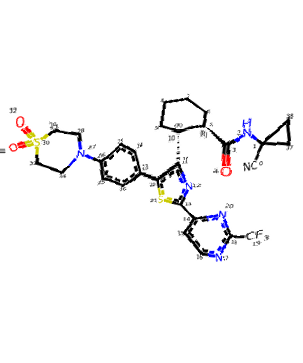 N#CC1(NC(=O)[C@@H]2CCCC[C@H]2c2nc(-c3ccnc(C(F)(F)F)n3)sc2-c2ccc(N3CCS(=O)(=O)CC3)cc2)CC1